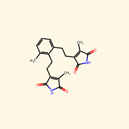 CC1=C(CCc2cccc(C)c2CCC2=C(C)C(=O)NC2=O)C(=O)NC1=O